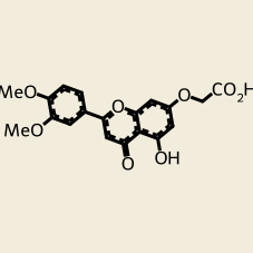 COc1ccc(-c2cc(=O)c3c(O)cc(OCC(=O)O)cc3o2)cc1OC